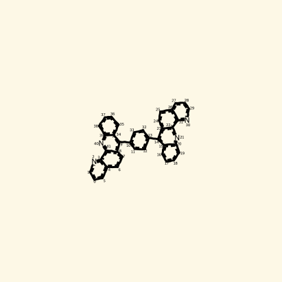 c1cnc2c(c1)ccc1c(-c3ccc(-c4c5ccccc5nc5c4ccc4cccnc45)cc3)c3ccccc3nc12